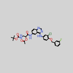 CC(=O)OC(CNC(=O)OC(C)(C)C)C(=O)Nc1ccc2ncnc(Nc3ccc(OCc4cccc(F)c4)c(Cl)c3)c2c1